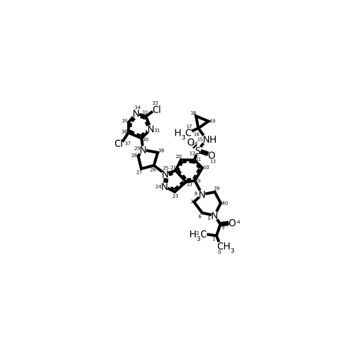 CC(C)C(=O)N1CCN(c2cc(S(=O)(=O)NC3(C)CC3)cc3c2cnn3C2CCN(c3nc(Cl)ncc3Cl)C2)CC1